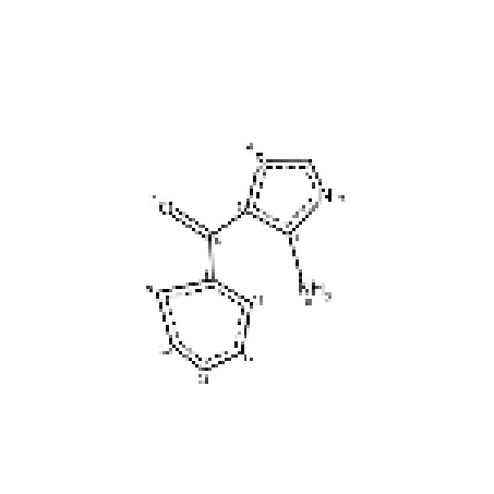 Nc1ncsc1C(=O)c1ccccc1